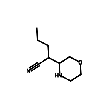 CCCC(C#N)C1COCCN1